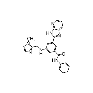 Cn1ccnc1CNc1cc(C(=O)NC2=CCCC=C2)cc(-c2nc3cccnc3[nH]2)c1